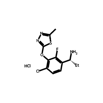 CC[C@@H](N)c1ccc(Cl)c(Oc2nnc(C)s2)c1F.Cl